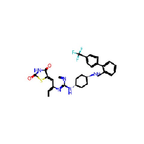 C=N\C(=N/C(=C\C)/C=C1\SC(=O)NC1=O)N[C@H]1CC[C@H](NCc2ccccc2-c2ccc(C(F)(F)F)cc2)CC1